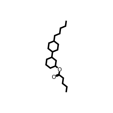 CCCCCC1CCC(C2CCCC(OC(=O)CCCC)C2)CC1